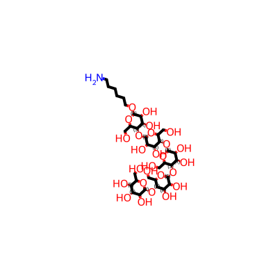 NCCCCCCO[C@@H]1OC(CO)[C@@H](O[C@H]2OC(CO)[C@H](O[C@H]3OC(CO)[C@@H](O[C@@H]4OC(CO)[C@@H](O[C@H]5OC(CO)[C@H](O)[C@H](O)C5O)[C@H](O)C4O)[C@H](O)C3O)[C@H](O)C2O)[C@H](O)C1O